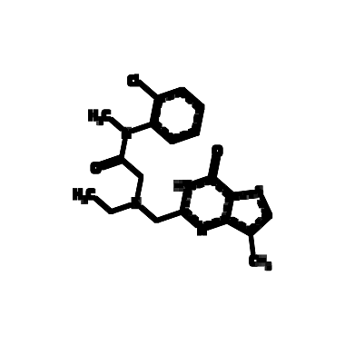 CCN(CC(=O)N(C)c1ccccc1Cl)Cc1nc2c(C)csc2c(=O)[nH]1